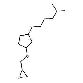 CC(C)CCCCC1CCC(OCC2CO2)C1